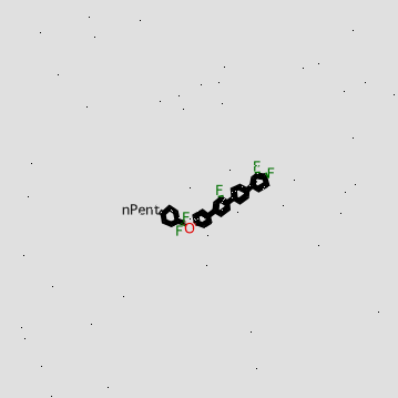 CCCCCC1CCC(C(F)(F)Oc2ccc(-c3ccc(-c4ccc(-c5ccc(F)c(F)c5)cc4)c(F)c3)cc2)CC1